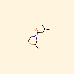 CC(C)CC(=O)N1CC(C)OC(C)C1